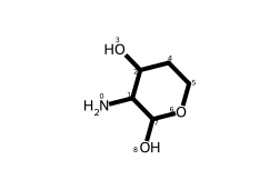 NC1C(O)CCOC1O